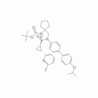 CC(C)Oc1ccc(-c2ccc(N(CC3(NC(=O)OC(C)(C)C)CCCC3)C(=O)[C@@H]3C[C@H]3c3cccc(F)n3)cc2)cc1